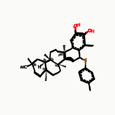 Cc1ccc(SC2C=C3[C@@](C)(CC[C@@]4(C)[C@@H]5C[C@](C)(C#N)CC[C@]5(C)CC[C@]34C)c3cc(O)c(O)c(C)c32)cc1